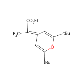 CCOC(=O)C(=C1C=C(C(C)(C)C)OC(C(C)(C)C)=C1)C(F)(F)F